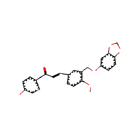 COc1ccc(/C=C/C(=O)c2ccc(O)cc2)cc1COc1ccc2c(c1)OCO2